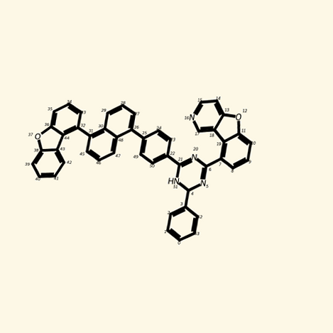 c1ccc(C2N=C(c3cccc4oc5ccncc5c34)N=C(c3ccc(-c4cccc5c(-c6cccc7oc8ccccc8c67)cccc45)cc3)N2)cc1